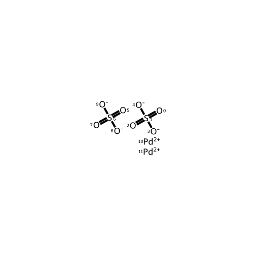 O=S(=O)([O-])[O-].O=S(=O)([O-])[O-].[Pd+2].[Pd+2]